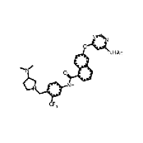 CC(=O)Nc1cc(Oc2ccc3c(C(=O)Nc4ccc(CN5CCC(N(C)C)C5)c(C(F)(F)F)c4)cccc3c2)ncn1